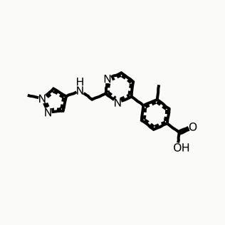 Cc1cc(C(=O)O)ccc1-c1ccnc(CNc2cnn(C)c2)n1